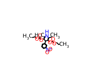 CCCOC(=O)OC1=C(C)NC(CC)=C(OC(=O)OCCC)C1c1cccc([N+](=O)[O-])c1